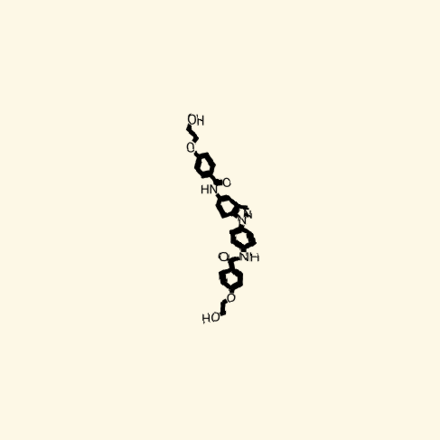 O=C(Nc1ccc(-n2ncc3cc(NC(=O)c4ccc(OCCO)cc4)ccc32)cc1)c1ccc(OCCO)cc1